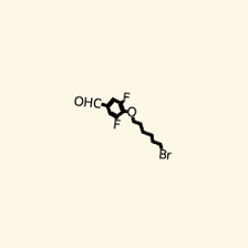 O=Cc1cc(F)c(OCCCCCCBr)c(F)c1